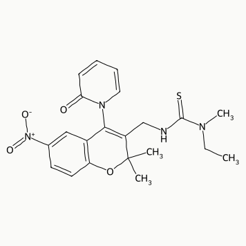 CCN(C)C(=S)NCC1=C(n2ccccc2=O)c2cc([N+](=O)[O-])ccc2OC1(C)C